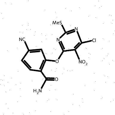 CSc1nc(Cl)c([N+](=O)[O-])c(Oc2cc(C#N)ccc2C(N)=O)n1